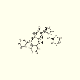 O=C(N[C@H]1N=C(c2ccccc2)c2ccccc2NC1=O)Oc1sccc1CN1CCOCC1